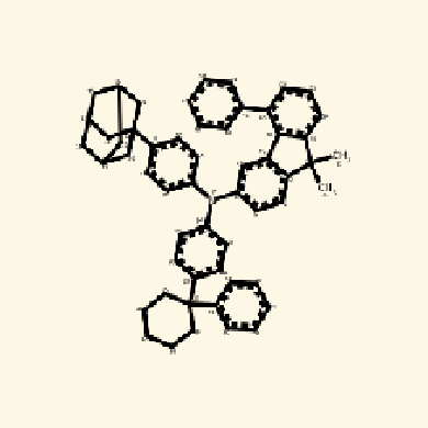 CC1(C)c2ccc(N(c3ccc(C45CC6CC(CC(C6)C4)C5)cc3)c3ccc(C4(c5ccccc5)CCCCC4)cc3)cc2-c2c(-c3ccccc3)cccc21